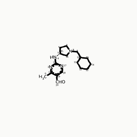 Cc1nc(N[C@@H]2CCN(CC3CCCCC3)C2)ncc1C=O